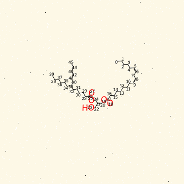 CCCCC/C=C\C/C=C\CCCCCCCC(=O)OCC(CO)COC(=O)CCCCCC(CCCCCC)CCCCCC